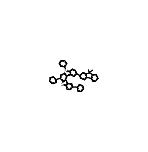 CC1(C)c2ccccc2-c2ccc(-c3ccc4c(c3)c3c5c(sc6ccc(-c7ccccc7)cc65)c(-c5ccccc5)cc3n4-c3ccccc3)cc21